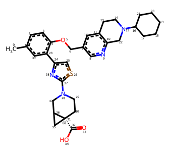 Cc1ccc(OCc2cnc3c(c2)CCN(C2CCCCC2)C3)c(-c2csc(N3CC[C@@]4(C(=O)O)CC4C3)n2)c1